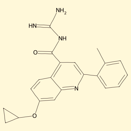 Cc1ccccc1-c1cc(C(=O)NC(=N)N)c2ccc(OC3CC3)cc2n1